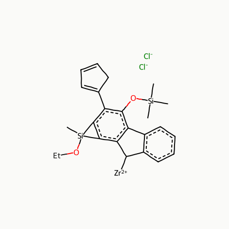 CCO[Si]1(C)c2c(C3=CC=CC3)c(O[Si](C)(C)C)c3c(c21)[CH]([Zr+2])c1ccccc1-3.[Cl-].[Cl-]